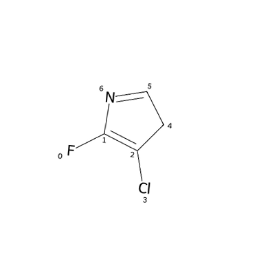 FC1=C(Cl)CC=N1